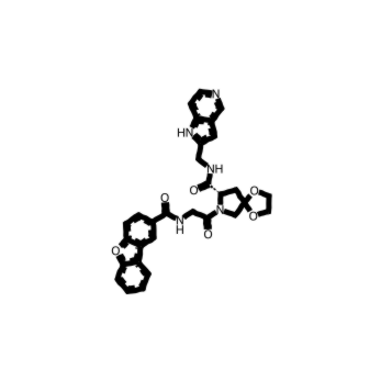 O=C(NCC(=O)N1CC2(C[C@H]1C(=O)NCc1cc3cnccc3[nH]1)OCCO2)c1ccc2oc3ccccc3c2c1